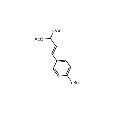 CCCCc1ccc(C=CC(OC(C)=O)OC(C)=O)cc1